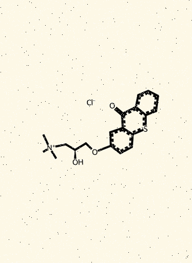 C[N+](C)(C)C[C@H](O)COc1ccc2sc3ccccc3c(=O)c2c1.[Cl-]